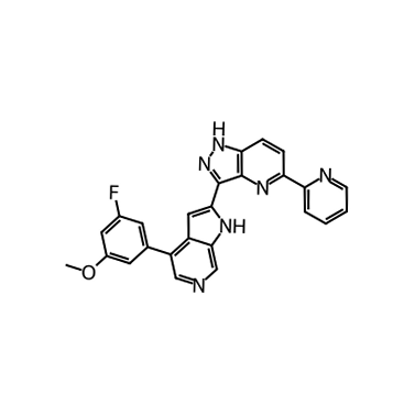 COc1cc(F)cc(-c2cncc3[nH]c(-c4n[nH]c5ccc(-c6ccccn6)nc45)cc23)c1